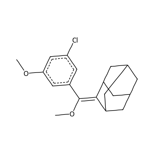 COC(=C1C2CC3CC(C2)CC1C3)c1cc(Cl)cc(OC)c1